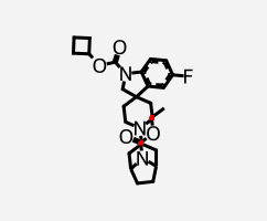 CCOC(=O)N1C2CCC1CC(N1CCC3(CC1)CN(C(=O)OC1CCC1)c1ccc(F)cc13)C2